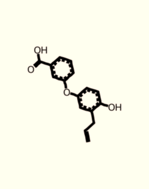 C=CCc1cc(Oc2cccc(C(=O)O)c2)ccc1O